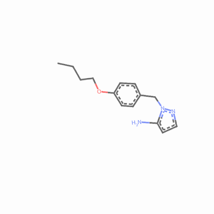 CCCCOc1ccc(Cn2nccc2N)cc1